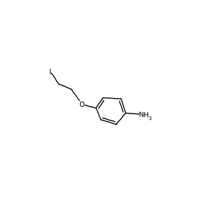 Nc1ccc(OCCI)cc1